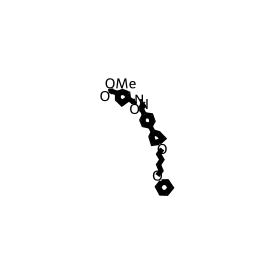 COC(=O)c1ccc(-c2nnc(-c3ccc(-c4ccc(OCCCCOc5ccccc5)cc4)cc3)o2)cc1